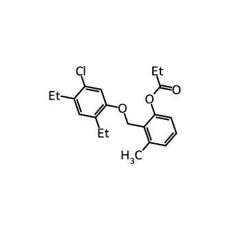 CCC(=O)Oc1cccc(C)c1COc1cc(Cl)c(CC)cc1CC